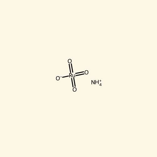 [NH4+].[O]=[Ru](=[O])(=[O])[O-]